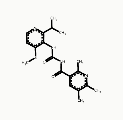 CSc1ccnc(C(C)C)c1NC(=O)NC(=O)c1cc(C)c(C)nc1C